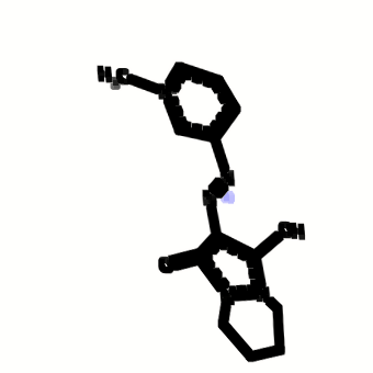 C[n+]1cccc(/N=N/c2c(O)n3n(c2=O)CCCC3)c1